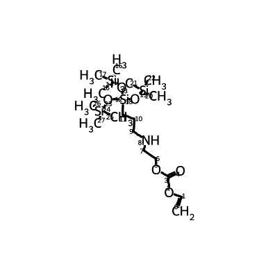 C=COC(=O)OCCNCCC[Si](O[Si](C)(C)C)(O[Si](C)(C)C)O[Si](C)(C)C